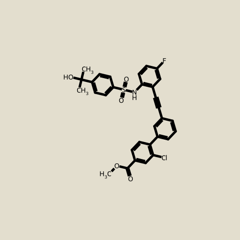 COC(=O)c1ccc(-c2cccc(C#Cc3cc(F)ccc3NS(=O)(=O)c3ccc(C(C)(C)O)cc3)c2)c(Cl)c1